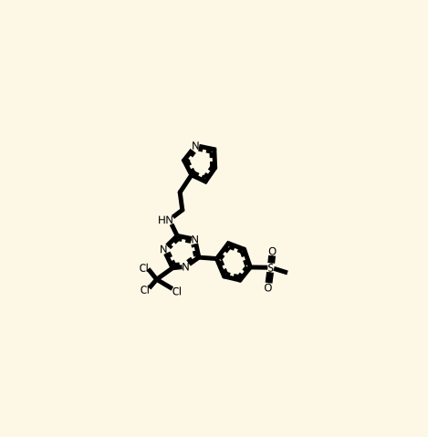 CS(=O)(=O)c1ccc(-c2nc(NCCc3cccnc3)nc(C(Cl)(Cl)Cl)n2)cc1